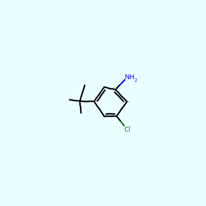 CC(C)(C)c1cc(N)[c]c(Cl)c1